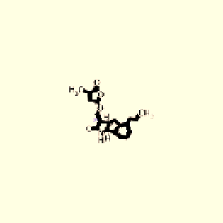 C=CCc1cccc2c1C[C@@H]1/C(=C\O[C@H]3C=C(C)C(=O)O3)C(=O)N[C@H]21